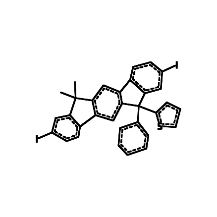 CC1(C)c2cc(I)ccc2-c2cc3c(cc21)-c1ccc(I)cc1C3(c1ccccc1)c1cccs1